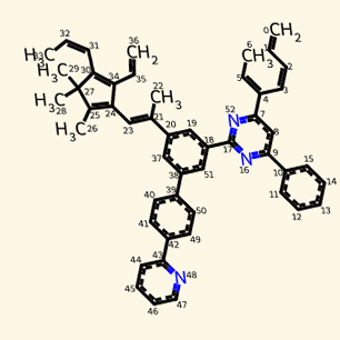 C=C/C=C\C(=C/C)c1cc(-c2ccccc2)nc(-c2cc(/C(C)=C/C3=C(C)C(C)(C)C(/C=C\C)=C3C=C)cc(-c3ccc(-c4ccccn4)cc3)c2)n1